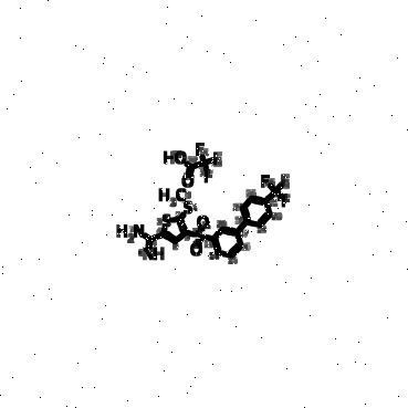 CSc1sc(C(=N)N)cc1S(=O)(=O)c1cccc(-c2ccc(C(F)(F)F)cc2)c1.O=C(O)C(F)(F)F